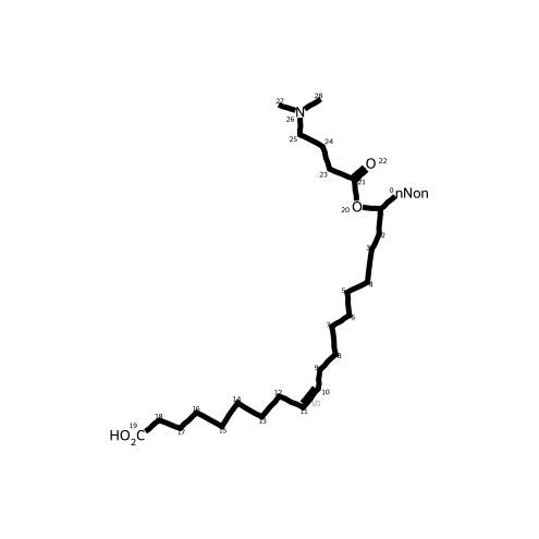 CCCCCCCCCC(CCCCCCCC/C=C\CCCCCCCC(=O)O)OC(=O)CCCN(C)C